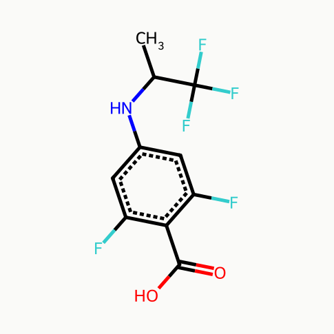 CC(Nc1cc(F)c(C(=O)O)c(F)c1)C(F)(F)F